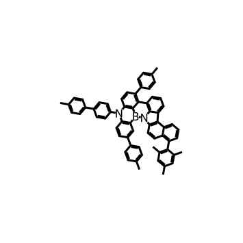 Cc1ccc(-c2ccc(N3c4ccc(-c5ccc(C)cc5)cc4B4c5c3ccc(-c3ccc(C)cc3)c5-c3cccc5c6c7cccc(-c8c(C)cc(C)cc8C)c7ccc6n4c35)cc2)cc1